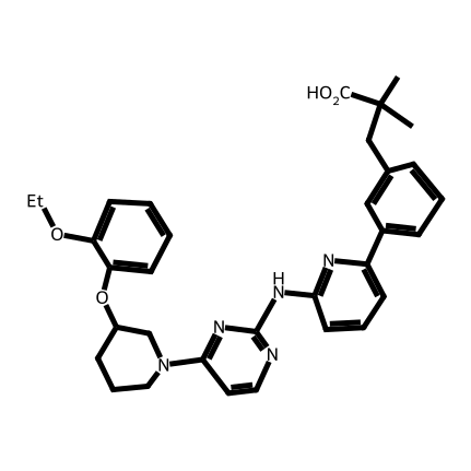 CCOc1ccccc1OC1CCCN(c2ccnc(Nc3cccc(-c4cccc(CC(C)(C)C(=O)O)c4)n3)n2)C1